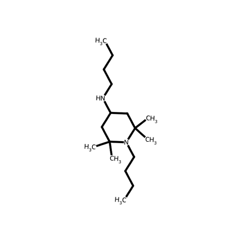 CCCCNC1CC(C)(C)N(CCCC)C(C)(C)C1